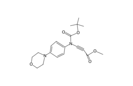 COC(=O)C#CN(C(=O)OC(C)(C)C)c1ccc(N2CCOCC2)cc1